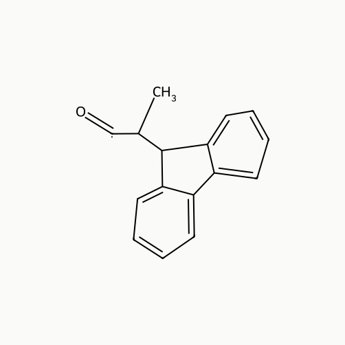 CC([C]=O)C1c2ccccc2-c2ccccc21